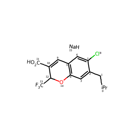 CC(C)Cc1cc2c(cc1Cl)C=C(C(=O)O)C(C(F)(F)F)O2.[NaH]